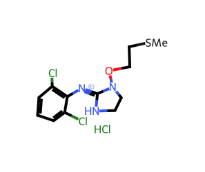 CSCCON1CCN/C1=N\c1c(Cl)cccc1Cl.Cl